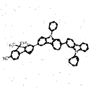 CC1(C)c2cc(C#N)ccc2-c2ccc(-c3ccc4c(c3)c3ccc(-c5ccc6c7ccccc7n(-c7ccccc7)c6c5)cc3n4-c3ccccc3)cc21